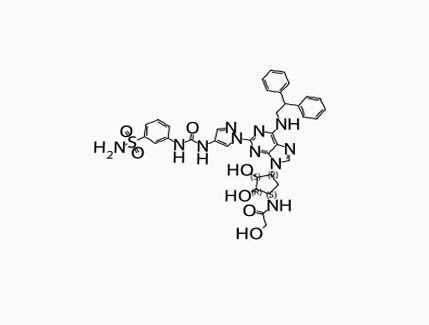 NS(=O)(=O)c1cccc(NC(=O)Nc2cnn(-c3nc(NCC(c4ccccc4)c4ccccc4)c4ncn([C@@H]5C[C@H](NC(=O)CO)[C@@H](O)[C@H]5O)c4n3)c2)c1